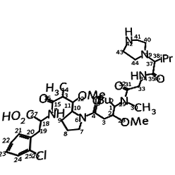 CCC(C)C(C(CC(=O)N1CCCC1C(OC)C(C)C(=O)NC(Cc1ccccc1Cl)C(=O)O)OC)N(C)C(=O)CNC(=O)C(C(C)C)N1CCNCC1